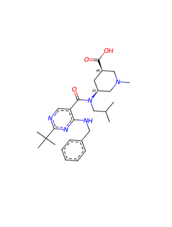 CC(C)CN(C(=O)c1cnc(C(C)(C)C)nc1NCc1ccccc1)[C@H]1C[C@@H](C(=O)O)CN(C)C1